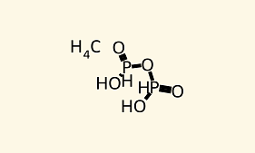 C.O=[PH](O)O[PH](=O)O